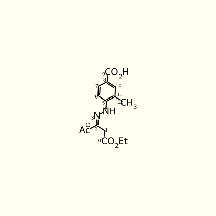 CCOC(=O)CC(=NNc1ccc(C(=O)O)cc1C)C(C)=O